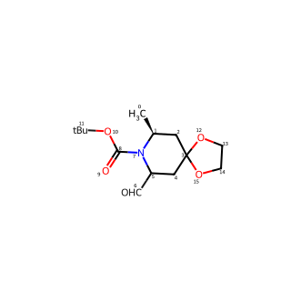 C[C@H]1CC2(CC(C=O)N1C(=O)OC(C)(C)C)OCCO2